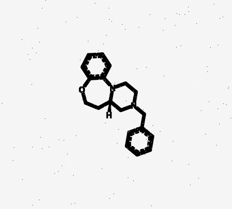 c1ccc(CN2CCN3c4ccccc4OCC[C@H]3C2)cc1